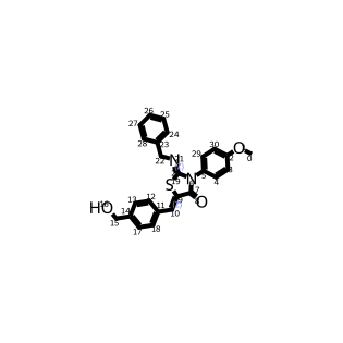 COc1ccc(N2C(=O)/C(=C/c3ccc(CO)cc3)S/C2=N\Cc2ccccc2)cc1